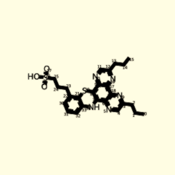 CCCc1cnc2c3c(c4ncc(CCC)nc4c2n1)Sc1c(CCCS(=O)(=O)O)cccc1N3